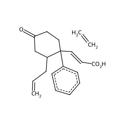 C=C.C=CCC1CC(=O)CCC1(C=CC(=O)O)c1ccccc1